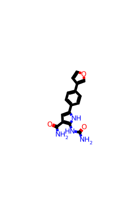 NC(=O)Nc1[nH]c(-c2ccc(-c3ccoc3)cc2)cc1C(N)=O